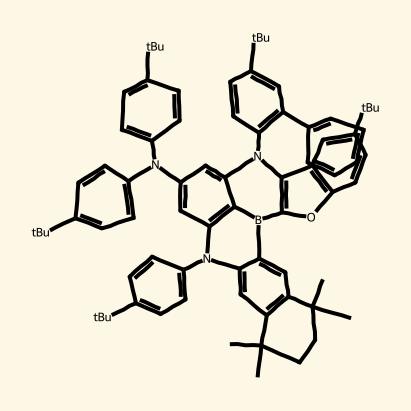 CC(C)(C)c1ccc(N(c2ccc(C(C)(C)C)cc2)c2cc3c4c(c2)N(c2ccc(C(C)(C)C)cc2-c2ccccc2)c2c(oc5ccc(C(C)(C)C)cc25)B4c2cc4c(cc2N3c2ccc(C(C)(C)C)cc2)C(C)(C)CCC4(C)C)cc1